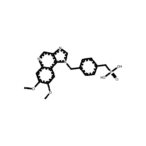 COc1cc2ncc3ncn(Cc4ccc(CP(=O)(O)O)cc4)c3c2cc1OC